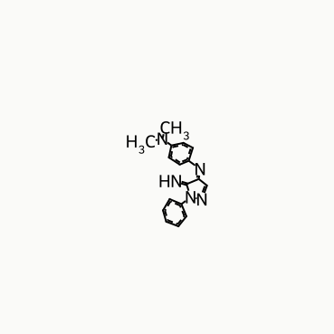 CN(C)c1ccc(N=C2C=NN(c3ccccc3)C2=N)cc1